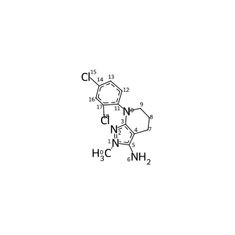 Cn1nc2c(c1N)CCCN2c1ccc(Cl)cc1Cl